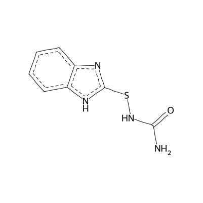 NC(=O)NSc1nc2ccccc2[nH]1